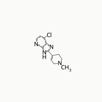 CN1CC=C(c2nc3c(Cl)ccnc3[nH]2)CC1